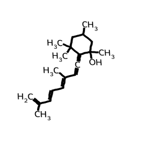 C=C(C)/C=C/C=C(\C)C=C=C1C(C)(C)CC(C)CC1(C)O